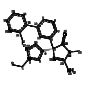 CCn1cc([C@@]2(c3cccc(-c4cccnc4F)c3)N=C(N)N(C)C2=O)cn1